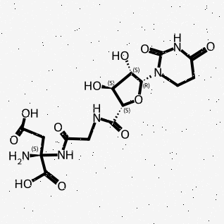 N[C@@](CC(=O)O)(NC(=O)CNC(=O)[C@H]1O[C@@H](N2CCC(=O)NC2=O)[C@@H](O)[C@@H]1O)C(=O)O